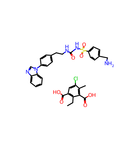 CCc1c(C(=O)O)cc(Cl)c(C)c1C(=O)O.NCc1ccc(S(=O)(=O)NC(=O)NCCc2ccc(-n3cnc4ccccc43)cc2)cc1